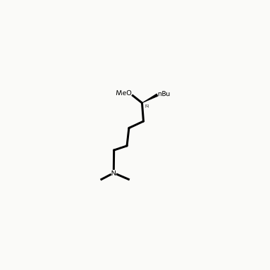 CCCC[C@@H](CCCCN(C)C)OC